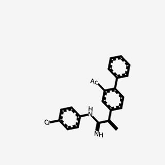 C=C(C(=N)Nc1ccc(Cl)cc1)c1ccc(-c2ccccc2)c(C(C)=O)c1